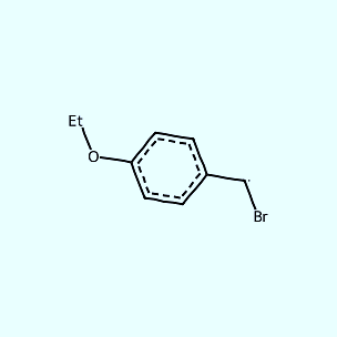 CCOc1ccc([CH]Br)cc1